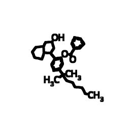 CCCCCCC(C)(C)c1ccc(C2CC(O)CC3CCCCC32)c(OC(=O)c2ccccc2)c1